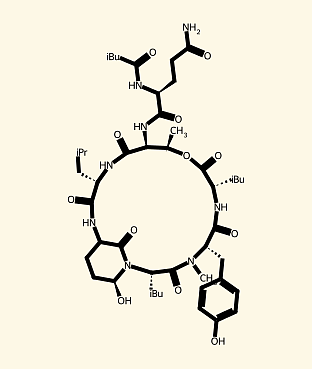 CCC(C)C(=O)N[C@@H](CCC(N)=O)C(=O)N[C@@H]1C(=O)N[C@@H](CC(C)C)C(=O)NC2CC[C@H](O)N(C2=O)[C@@H](C(C)CC)C(=O)N(C)[C@@H](Cc2ccc(O)cc2)C(=O)N[C@@H](C(C)CC)C(=O)O[C@@H]1C